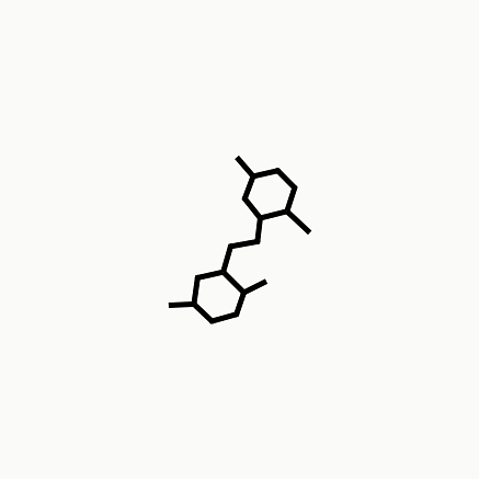 CC1CCC(C)C(CCC2CC(C)CCC2C)C1